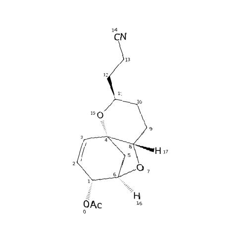 CC(=O)O[C@@H]1C=C[C@]23C[C@H]1O[C@H]2CC[C@H](CCC#N)O3